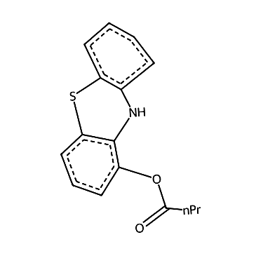 CCCC(=O)Oc1cccc2c1Nc1ccccc1S2